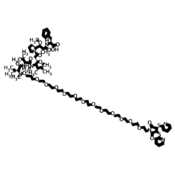 CC[C@H](C)C([C@H](CC(=O)N1CCC[C@H]1[C@H](OC)[C@@H](C)C(=O)N[C@@H](Cc1ccccc1)C(=O)O)OC)N(C)C(=O)[C@@H](NC(=O)[C@H](C(C)C)N(C)OCCCOCCOCCOCCOCCOCCOCCOCCOCCOCCOCCOCCOCCN1C(=O)C(Sc2ccccn2)C(Sc2ccccn2)C1=O)C(C)C